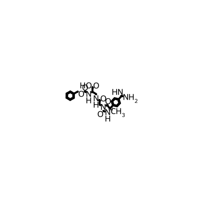 C[C@@]1(c2ccc(C(=N)N)cc2)NC(=O)N(CC(=O)NCC(NC(=O)OCc2ccccc2)C(=O)O)C1=O